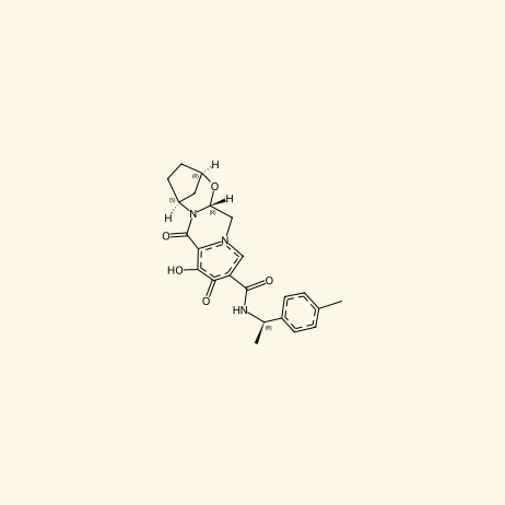 Cc1ccc([C@@H](C)NC(=O)c2cn3c(c(O)c2=O)C(=O)N2[C@H]4CC[C@H](C4)O[C@@H]2C3)cc1